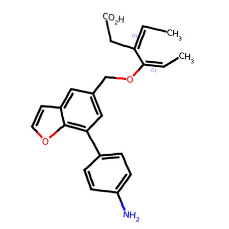 C/C=C(CC(=O)O)\C(=C/C)OCc1cc(-c2ccc(N)cc2)c2occc2c1